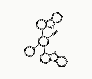 N#Cc1cc(-c2cccc3c2sc2ccccc23)c(-c2ccccc2)cc1-c1cccc2c1oc1ccccc12